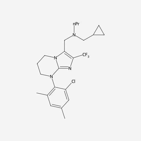 CCCN(Cc1c(C(F)(F)F)nc2n1CCCN2c1c(C)cc(C)cc1Cl)CC1CC1